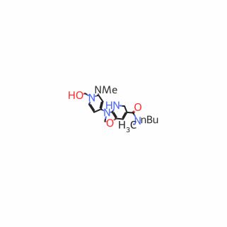 CCCCN(C)C(=O)C1=CC2=C(NC1)N(C1=CC(NC)N(CO)C=C1)CO2